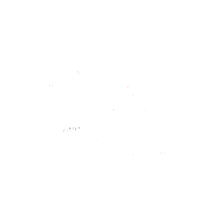 CC/C=C\CC(OCCCC)N(CC(=O)N(C)C)C(=O)OC(C)(C)C